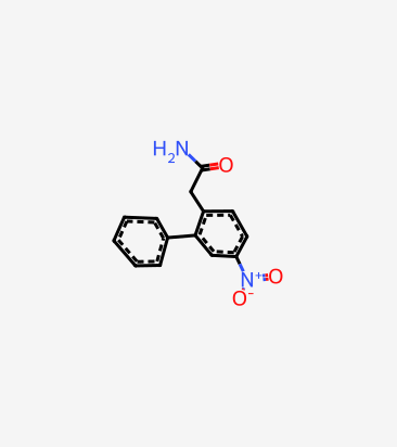 NC(=O)Cc1ccc([N+](=O)[O-])cc1-c1ccccc1